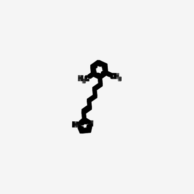 Cc1cccc(C)c1CCCCC=Cc1ncc[nH]1